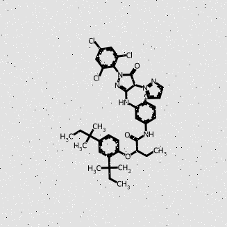 CCC(Oc1ccc(C(C)(C)CC)cc1C(C)(C)CC)C(=O)Nc1ccc(Cl)c(NC2=NN(c3c(Cl)cc(Cl)cc3Cl)C(=O)C2n2cccn2)c1